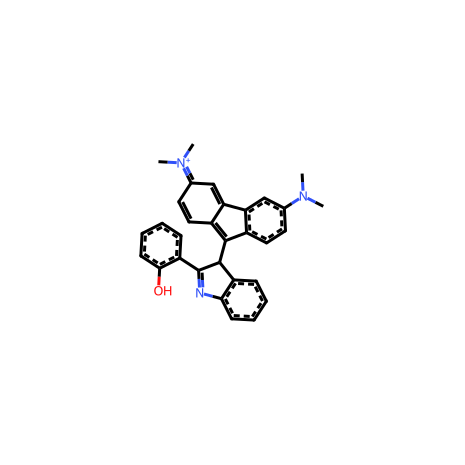 CN(C)c1ccc2c(c1)C1=CC(=[N+](C)C)C=CC1=C2C1C(c2ccccc2O)=Nc2ccccc21